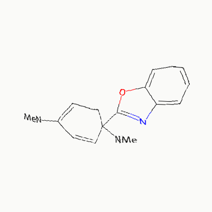 CNC1=CCC(NC)(c2nc3ccccc3o2)C=C1